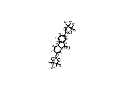 CC1(C)OB(C2=CC3C(=O)c4cc(B5OC(C)(C)C(C)(C)O5)ccc4C3C=C2)OC1(C)C